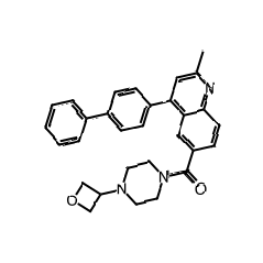 Cc1cc(-c2ccc(-c3ccccc3)cc2)c2cc(C(=O)N3CCN(C4COC4)CC3)ccc2n1